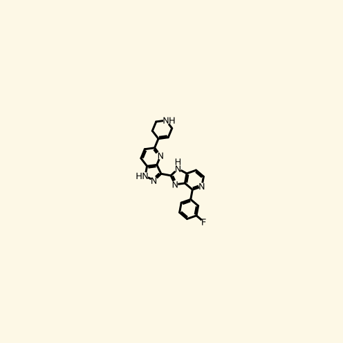 Fc1cccc(-c2nccc3[nH]c(-c4n[nH]c5ccc(C6=CCNCC6)nc45)nc23)c1